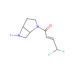 O=C(/C=C/C(F)F)N1CCC2C1CN2I